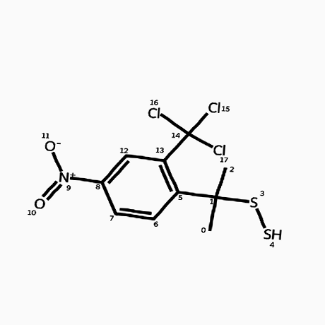 CC(C)(SS)c1ccc([N+](=O)[O-])cc1C(Cl)(Cl)Cl